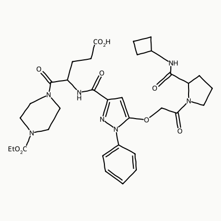 CCOC(=O)N1CCN(C(=O)C(CCC(=O)O)NC(=O)c2cc(OCC(=O)N3CCCC3C(=O)NC3CCC3)n(-c3ccccc3)n2)CC1